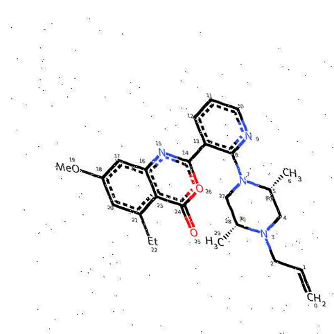 C=CCN1C[C@@H](C)N(c2ncccc2-c2nc3cc(OC)cc(CC)c3c(=O)o2)C[C@H]1C